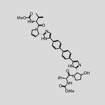 C=C(C)[C@H](NC(=O)OC)C(=O)N1CC=C[C@H]1c1ncc(-c2ccc(-c3ccc(-c4cnc([C@@H]5C(O)CCN5C(=O)[C@@H](NC(=O)OC)C(C)C)[nH]4)cc3)cc2)[nH]1